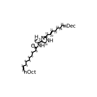 CCCCCCCC/C=C\CCCCCCCC(=O)NC(C)C1CNC(CC=CCCCCCCCCCCCCCC)=N1